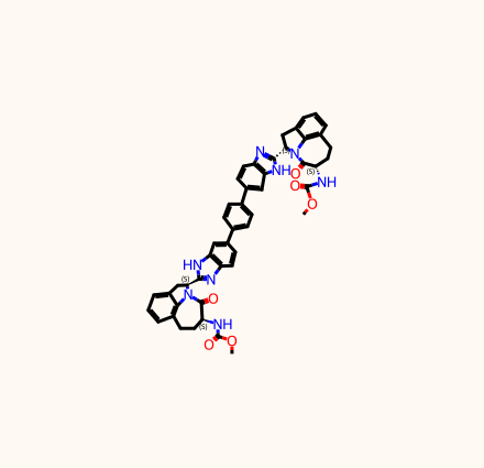 COC(=O)N[C@H]1CCc2cccc3c2N(C1=O)[C@H](c1nc2ccc(-c4ccc(-c5ccc6nc([C@@H]7Cc8cccc9c8N7C(=O)[C@@H](NC(=O)OC)CC9)[nH]c6c5)cc4)cc2[nH]1)C3